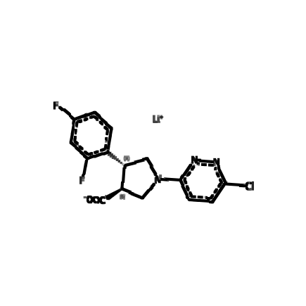 O=C([O-])[C@@H]1CN(c2ccc(Cl)nn2)C[C@H]1c1ccc(F)cc1F.[Li+]